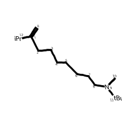 C=C(CCCCCCCN(C)C(C)(C)C)C(C)C